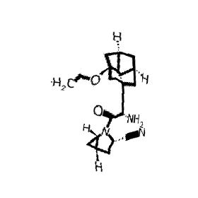 [CH2]CO[C@]12C[C@H]3C[C@H](C1)C[C@@]([C@H](N)C(=O)N1[C@H](C#N)C[C@@H]4C[C@@H]41)(C3)C2